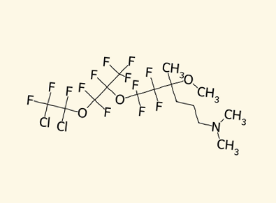 COC(C)(CCCN(C)C)C(F)(F)C(F)(F)OC(F)(C(F)(F)F)C(F)(F)OC(F)(Cl)C(F)(F)Cl